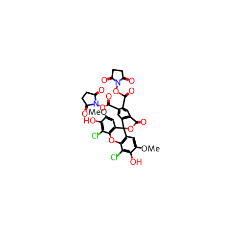 COc1cc2c(c(Cl)c1O)Oc1c(cc(OC)c(O)c1Cl)C21OC(=O)c2cc(C(=O)ON3C(=O)CCC3=O)c(C(=O)ON3C(=O)CCC3=O)cc21